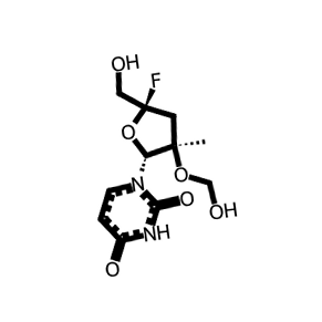 C[C@@]1(OCO)C[C@@](F)(CO)O[C@H]1n1ccc(=O)[nH]c1=O